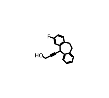 OCC#CC1c2ccccc2CCc2ccc(F)cc21